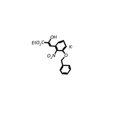 CCOC(=O)C(O)=Cc1cccc(OCc2ccccc2)c1[N+](=O)[O-].[K]